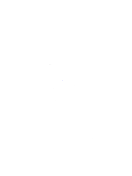 COC(=O)[C@H](c1ccc(Cl)cc1)N(C(=O)/C=C/c1ccccc1)C(C)c1ccc(Cl)cc1